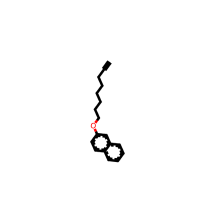 C#CCCCCCCOc1ccc2ccccc2c1